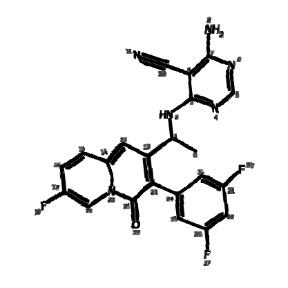 CC(Nc1ncnc(N)c1C#N)c1cc2ccc(F)cn2c(=O)c1-c1cc(F)cc(F)c1